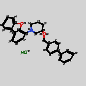 Cl.c1ccc(-c2ccc(CO[C@@H]3CCCN(c4cccc5c4oc4ccccc45)C3)cc2)cc1